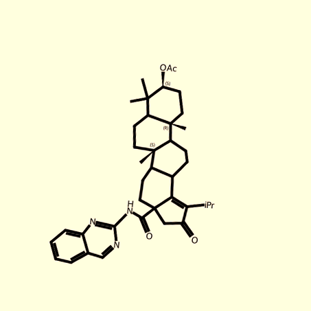 CC(=O)O[C@H]1CC[C@@]2(C)C(CC[C@@]3(C)C4CCC5(C(=O)Nc6ncc7ccccc7n6)CC(=O)C(C(C)C)=C5C4CCC32)C1(C)C